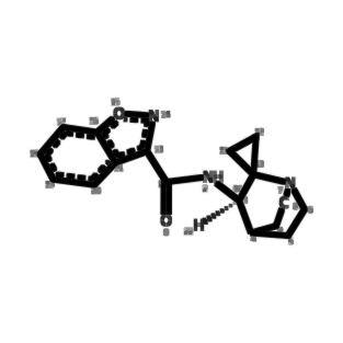 O=C(N[C@@H]1C2CCN(CC2)C12CC2)c1noc2ccccc12